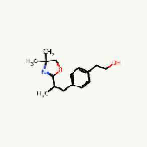 CC(Cc1ccc(CCO)cc1)C1=NC(C)(C)CO1